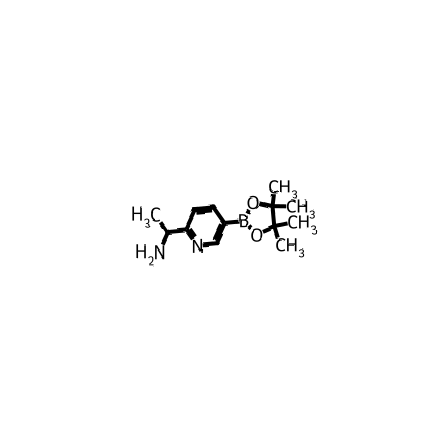 CC(N)c1ccc(B2OC(C)(C)C(C)(C)O2)cn1